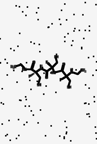 CCNC(=O)[C@](F)(CS)NC(=O)[C@](F)(CS)NC(=O)C(F)(CS)NCC